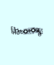 CCC(CC)CC(O)COc1ccc(C(C)(C)c2ccc(OC(C)(CC)C3CO3)cc2)cc1